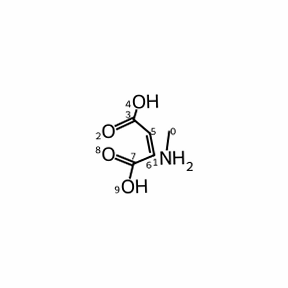 CN.O=C(O)/C=C\C(=O)O